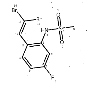 CS(=O)(=O)Nc1cc(F)ccc1C=C(Br)Br